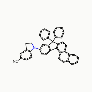 N#Cc1ccc2c(c1)CCN2c1ccc2c(c1)C(c1ccccc1)(c1ccccc1)c1ccc3c(ccc4ccccc43)c1-2